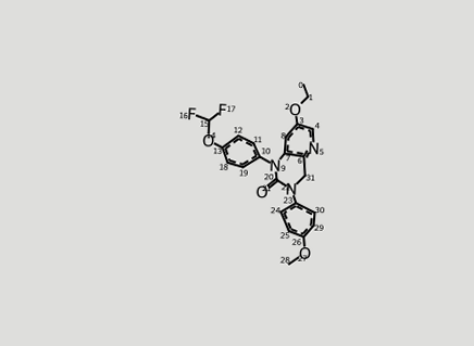 CCOc1cnc2c(c1)N(c1ccc(OC(F)F)cc1)C(=O)N(c1ccc(OC)cc1)C2